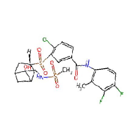 Cc1c(NC(=O)c2ccc(Cl)c(S(=O)(=O)[C@H]3CC4CC(C3)[C@]4(O)CNS(C)(=O)=O)c2)ccc(F)c1F